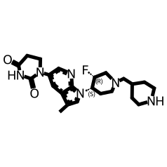 Cc1cn([C@H]2CCN(CC3CCNCC3)C[C@H]2F)c2ncc(N3CCC(=O)NC3=O)cc12